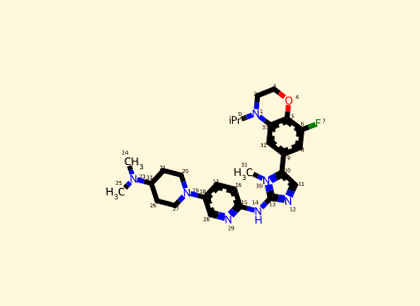 CC(C)N1CCOc2c(F)cc(-c3cnc(Nc4ccc(N5CCC(N(C)C)CC5)cn4)n3C)cc21